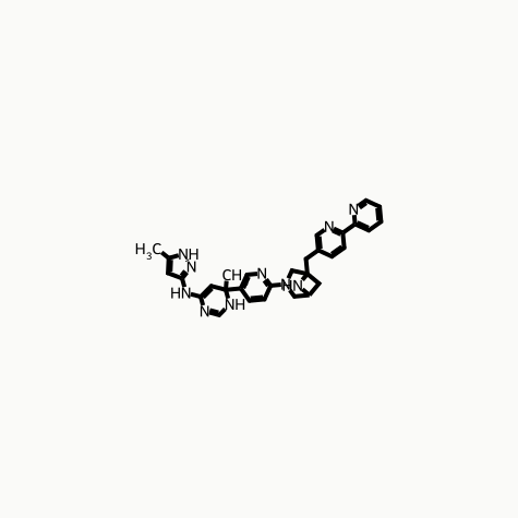 Cc1cc(NC2=CC(C)(c3ccc(N4CC5CC(Cc6ccc(-c7ccccn7)nc6)(C4)N5)nc3)NC=N2)n[nH]1